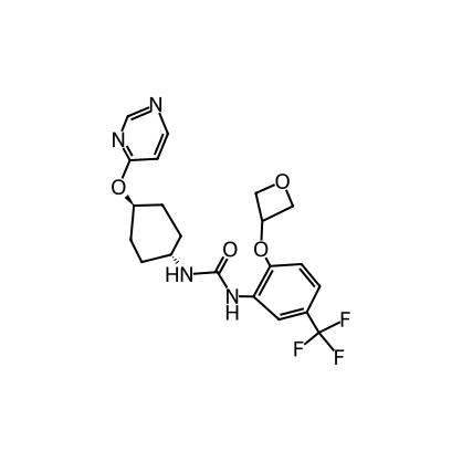 O=C(Nc1cc(C(F)(F)F)ccc1OC1COC1)N[C@H]1CC[C@H](Oc2ccncn2)CC1